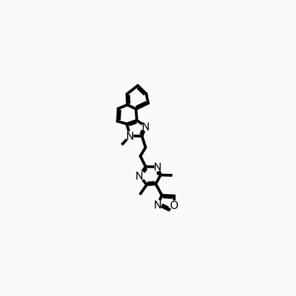 Cc1nc(CCc2nc3c4ccccc4ccc3n2C)nc(C)c1-c1cocn1